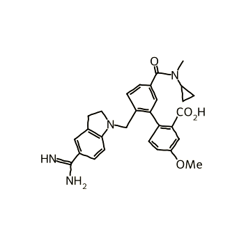 COc1ccc(-c2cc(C(=O)N(C)C3CC3)ccc2CN2CCc3cc(C(=N)N)ccc32)c(C(=O)O)c1